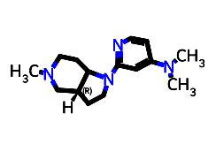 CN1CCC2[C@H](CCN2c2cc(N(C)C)ccn2)C1